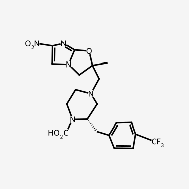 CC1(CN2CCN(C(=O)O)[C@@H](Cc3ccc(C(F)(F)F)cc3)C2)Cn2cc([N+](=O)[O-])nc2O1